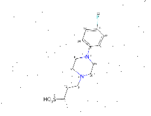 O=S(=O)(O)CCCN1CCN(c2ccc(F)cc2)CC1